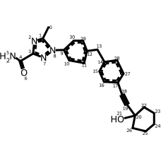 Cc1nc(C(N)=O)nn1-c1ccc(Cc2ccc(C#CC3(O)CCCCC3)cc2)cc1